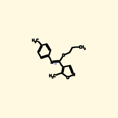 CCCO/C(=N\c1ccc(C)cc1)c1cnoc1C